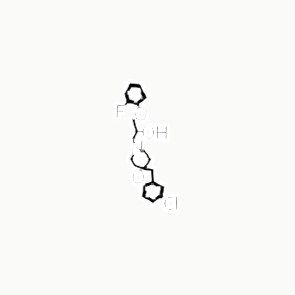 O[C@H](COc1ccccc1F)CN1CCC2(CC1)Cc1cc(Cl)ccc1O2